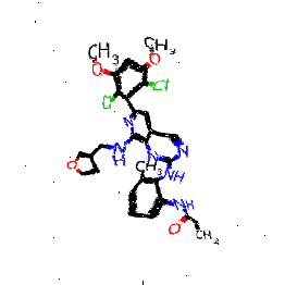 C=CC(=O)Nc1cccc(C)c1Nc1ncc2cc(-c3c(Cl)c(OC)cc(OC)c3Cl)nc(NCC3CCOC3)c2n1